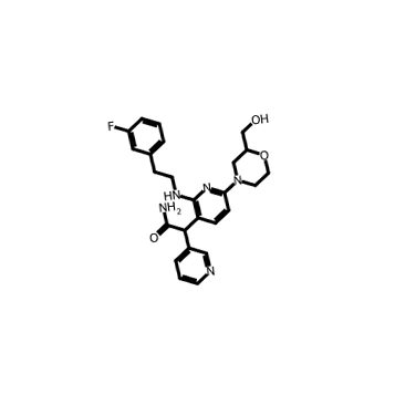 NC(=O)C(c1cccnc1)c1ccc(N2CCOC(CO)C2)nc1NCCc1cccc(F)c1